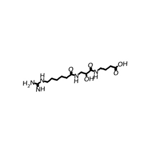 N=C(N)NCCCCCC(=O)NCC(O)C(=O)NCCCC(=O)O